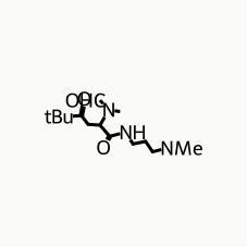 CNCCCNC(=O)C(CC(=O)C(C)(C)C)N(C)C=O